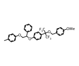 COc1ccc(COC(c2ccc(OC(COc3ccc(C)cc3)c3ccccc3)cc2)(C(F)(F)F)C(F)(F)F)cc1